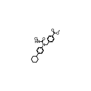 COC(=O)c1ccc(CN(C(=O)NCl)c2ccc(C3CCCCC3)cc2)cc1